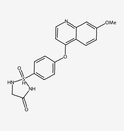 COc1ccc2c(Oc3ccc([SH]4(=O)NCC(=O)N4)cc3)ccnc2c1